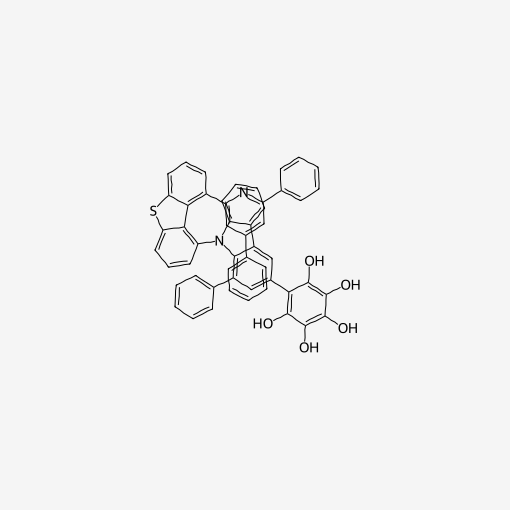 Oc1c(O)c(O)c(-c2cc(-c3ccccc3)c3c(c2)c2ccccc2n3-c2cccc3sc4cccc(-c5cc(-c6ccccc6)cc(-c6ccccc6)n5)c4c23)c(O)c1O